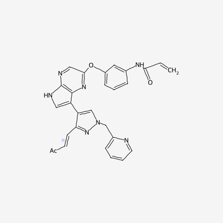 C=CC(=O)Nc1cccc(Oc2cnc3[nH]cc(-c4cn(Cc5ccccn5)nc4/C=C/C(C)=O)c3n2)c1